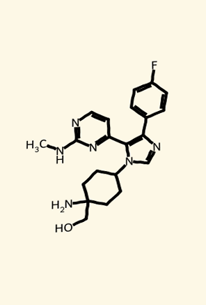 CNc1nccc(-c2c(-c3ccc(F)cc3)ncn2C2CCC(N)(CO)CC2)n1